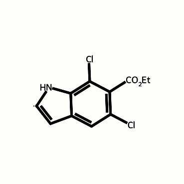 CCOC(=O)c1c(Cl)cc2c[c][nH]c2c1Cl